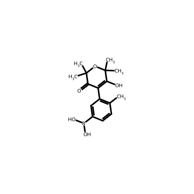 Cc1ccc(B(O)O)cc1C1=C(O)C(C)(C)OC(C)(C)C1=O